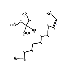 CCCCCCCC/C=C\CCCCCCC[CH2][Na].O=C(O)CC(O)(CC(=O)O)C(=O)O